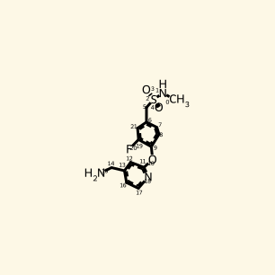 CNS(=O)(=O)Cc1ccc(Oc2cc(CN)ccn2)c(F)c1